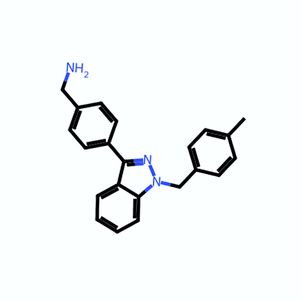 Cc1ccc(Cn2nc(-c3ccc(CN)cc3)c3ccccc32)cc1